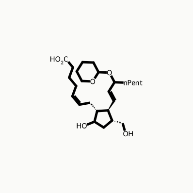 CCCCCC(/C=C/[C@H]1[C@H](CO)CC(O)[C@@H]1C/C=C\CCCC(=O)O)OC1CCCCO1